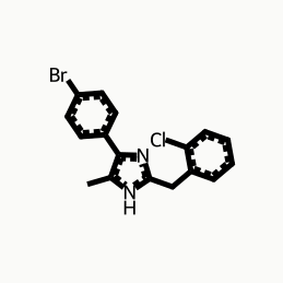 Cc1[nH]c(Cc2ccccc2Cl)nc1-c1ccc(Br)cc1